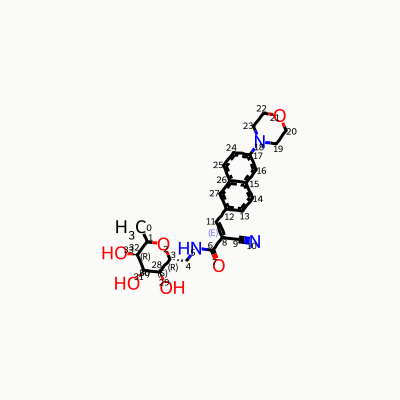 CC1O[C@H](CNC(=O)/C(C#N)=C/c2ccc3cc(N4CCOCC4)ccc3c2)[C@@H](O)[C@H](O)[C@H]1O